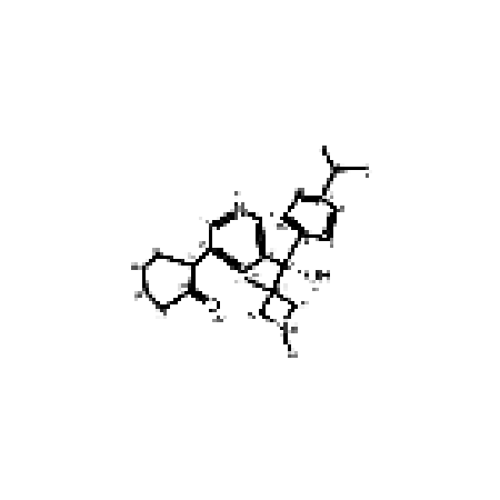 CC(C)c1ccc([C@](O)(c2cncc(C3CCCCC3=O)c2)C2(C)CN(C)C2)cc1